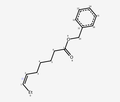 CC/C=C\CCCCC(=O)OCc1ccccc1